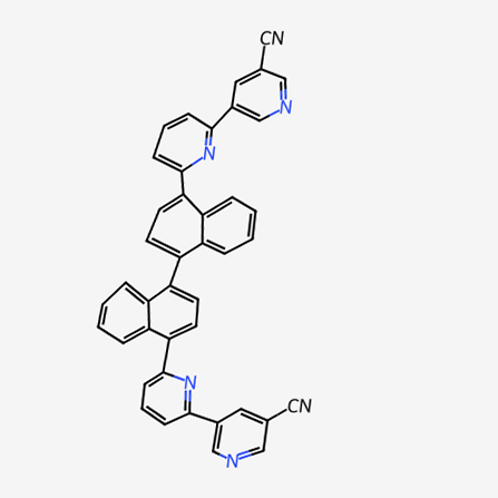 N#Cc1cncc(-c2cccc(-c3ccc(-c4ccc(-c5cccc(-c6cncc(C#N)c6)n5)c5ccccc45)c4ccccc34)n2)c1